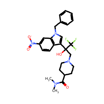 CN(C)C(=O)C1CCN(CC(O)(c2cn(Cc3ccccc3)c3cc([N+](=O)[O-])ccc23)C(F)(F)F)CC1